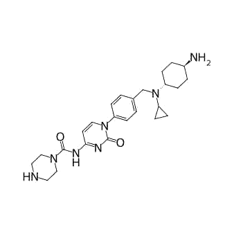 N[C@H]1CC[C@H](N(Cc2ccc(-n3ccc(NC(=O)N4CCNCC4)nc3=O)cc2)C2CC2)CC1